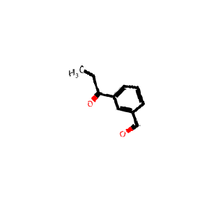 CCC(=O)c1cccc([C]=O)c1